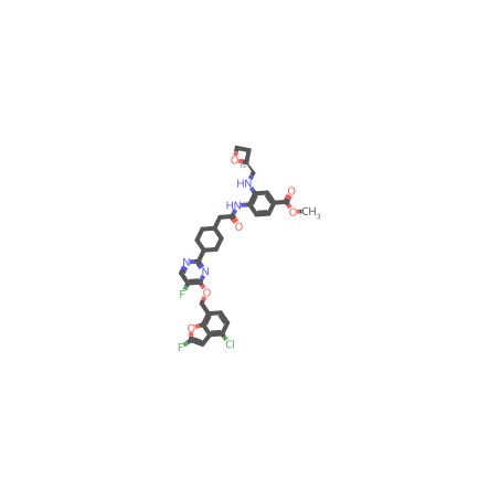 COC(=O)c1ccc(NC(=O)CC2CCC(c3ncc(F)c(OCc4ccc(Cl)c5cc(F)oc45)n3)CC2)c(NC[C@@H]2CCO2)c1